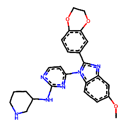 COc1ccc2c(c1)nc(-c1ccc3c(c1)OCCO3)n2-c1ccnc(NC2CCCNC2)n1